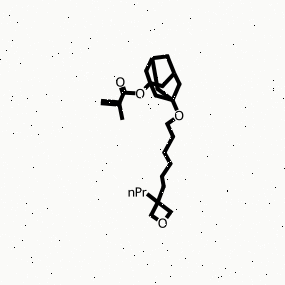 C=C(C)C(=O)OC12CC3CC(CC(OCCCCCCC4(CCC)COC4)(C3)C1)C2